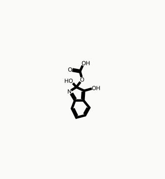 O=C(O)OC1(O)N=c2ccccc2=C1O